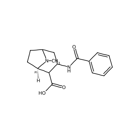 CN1C2CC[C@@H]1C(C(=O)O)C(NC(=O)c1ccccc1)C2